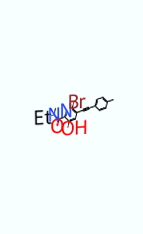 CCN(C)C(=O)c1nc(Br)c(C#Cc2ccc(C)cc2)cc1O